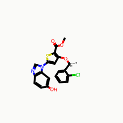 COC(=O)c1sc(-n2cnc3ccc(O)cc32)cc1O[C@H](C)c1ccccc1Cl